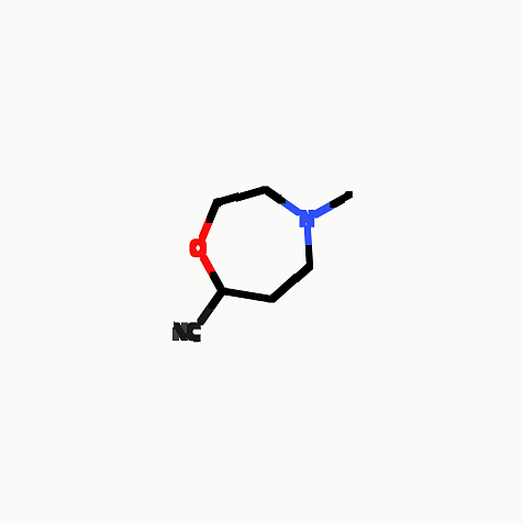 CN1CCOC(C#N)CC1